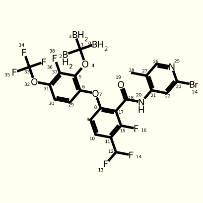 BC(B)(B)Oc1c(Oc2ccc(C(F)F)c(F)c2C(=O)Nc2cc(Br)ncc2C)ccc(OC(F)(F)F)c1F